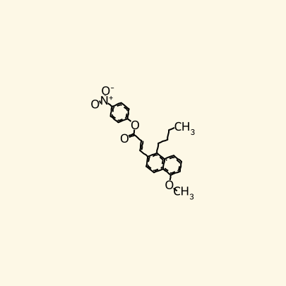 CCCCc1c(C=CC(=O)Oc2ccc([N+](=O)[O-])cc2)ccc2c(OC)cccc12